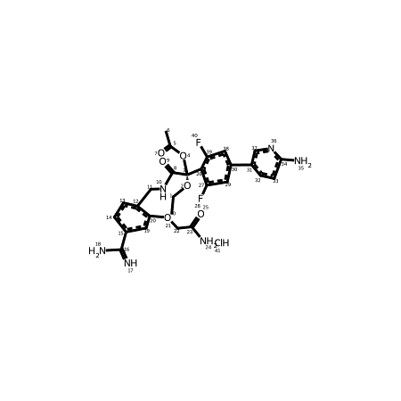 CCO[C@@](OC(C)=O)(C(=O)NCc1ccc(C(=N)N)cc1OCC(N)=O)c1c(F)cc(-c2ccc(N)nc2)cc1F.Cl